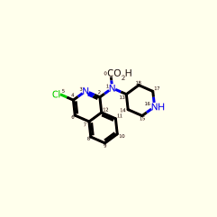 O=C(O)N(c1nc(Cl)cc2ccccc12)C1CCNCC1